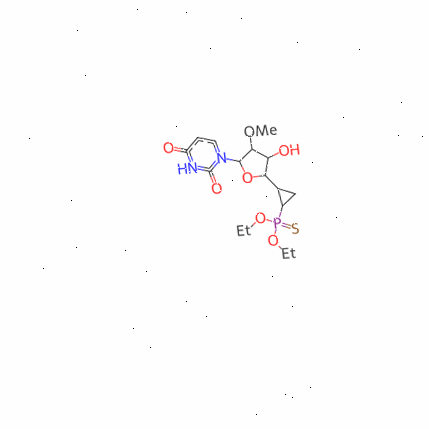 CCOP(=S)(OCC)C1CC1C1OC(n2ccc(=O)[nH]c2=O)C(OC)C1O